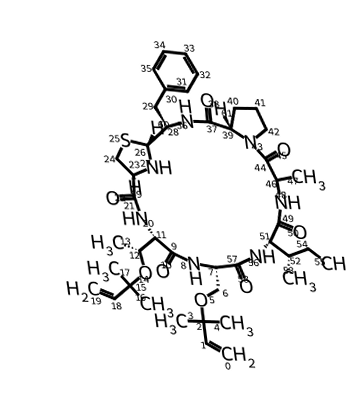 C=CC(C)(C)OC[C@@H]1NC(=O)[C@H]([C@@H](C)OC(C)(C)C=C)NC(=O)[C@@H]2CS[C@@H](N2)[C@@H](Cc2ccccc2)NC(=O)[C@@H]2CCCN2C(=O)C(C)NC(=O)[C@H]([C@@H](C)CC)NC1=O